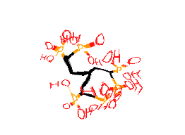 O=P(O)(O)C(CC(CC(P(=O)(O)O)P(=O)(O)O)C(P(=O)(O)O)P(=O)(O)O)P(=O)(O)O